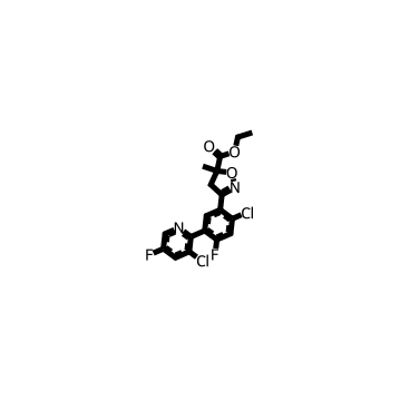 CCOC(=O)C1(C)CC(c2cc(-c3ncc(F)cc3Cl)c(F)cc2Cl)=NO1